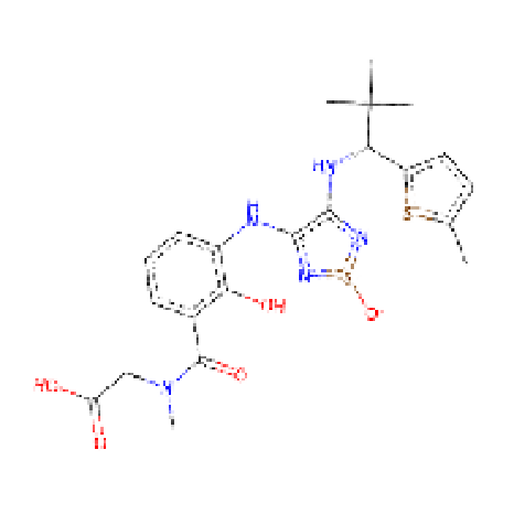 Cc1ccc([C@H](Nc2n[s+]([O-])nc2Nc2cccc(C(=O)N(C)CC(=O)O)c2O)C(C)(C)C)s1